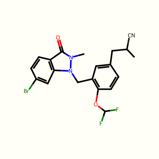 CC(C#N)Cc1ccc(OC(F)F)c(Cn2c3cc(Br)ccc3c(=O)n2C)c1